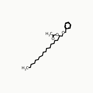 CCCCCCCCCCCCCCCCC(COCc1ccccc1)OC(C)=O